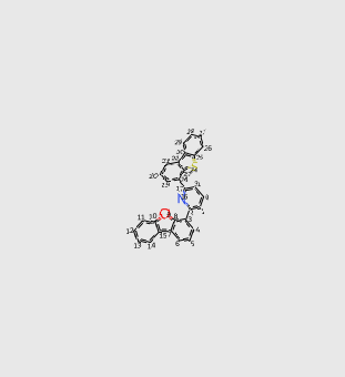 c1cc(-c2cccc3c2oc2ccccc23)nc(-c2cccc3c2sc2ccccc23)c1